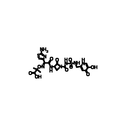 CC(C)(ON=C(C(=O)NC1CN(C(=O)NS(=O)(=O)NCc2cc(=O)c(O)c[nH]2)C1=O)c1csc(N)n1)C(=O)O